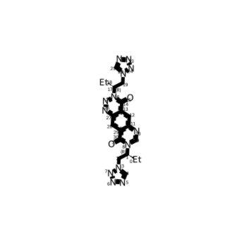 CC[C@H](Cn1cnnn1)n1cnc2cc3c(=O)n([C@H](CC)Cn4cnnn4)nnc3cc2c1=O